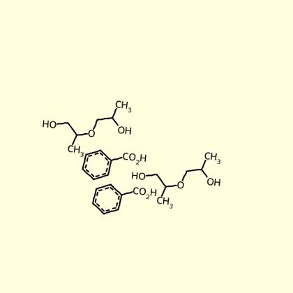 CC(O)COC(C)CO.CC(O)COC(C)CO.O=C(O)c1ccccc1.O=C(O)c1ccccc1